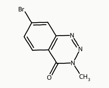 Cn1nnc2cc(Br)ccc2c1=O